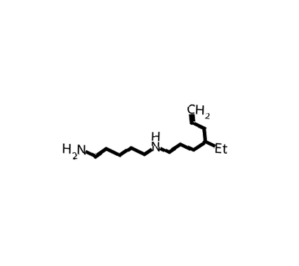 C=CCC(CC)CCCNCCCCCN